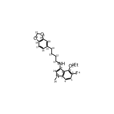 CCOc1c(F)ccc2c1c(NCCCCc1ccc3c(c1)OCO3)cn2C